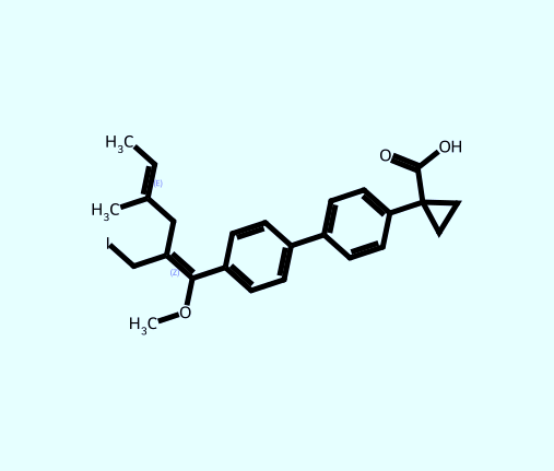 C/C=C(\C)C/C(CI)=C(/OC)c1ccc(-c2ccc(C3(C(=O)O)CC3)cc2)cc1